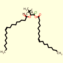 CCCCCCCC/C=C\CCCCCCCC(=O)OC(Cl)C(OC(=O)CCCCCCC/C=C\CCCCCCCC)C(C)(C)C